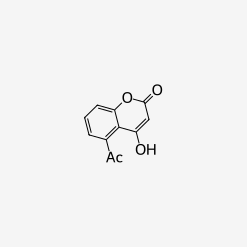 CC(=O)c1cccc2oc(=O)cc(O)c12